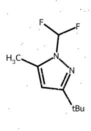 Cc1cc(C(C)(C)C)nn1C(F)F